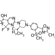 Cc1noc(-c2ccc(N3CCN(c4ncc(C(=O)O)c(C(F)(F)F)n4)[C@H](C(C)C)C3)cc2S(C)(=O)=O)n1